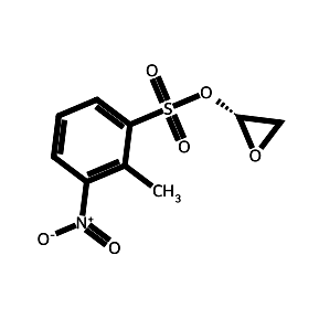 Cc1c([N+](=O)[O-])cccc1S(=O)(=O)O[C@@H]1CO1